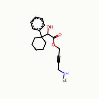 CCNCC#CCOC(=O)C(O)C1(c2ccccc2)CCCCC1